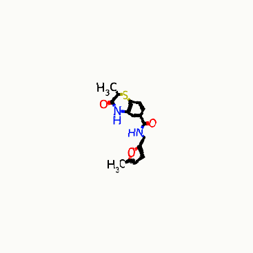 Cc1ccc(CNC(=O)c2ccc3c(c2)NC(=O)C(C)S3)o1